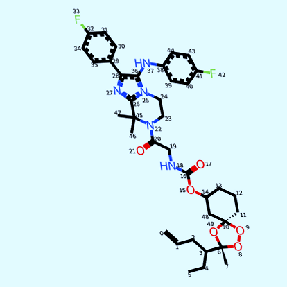 C=CCC(CC)[C@@]1(C)OO[C@@]2(CCCC(OC(=O)NCC(=O)N3CCn4c(nc(-c5ccc(F)cc5)c4Nc4ccc(F)cc4)C3(C)C)C2)O1